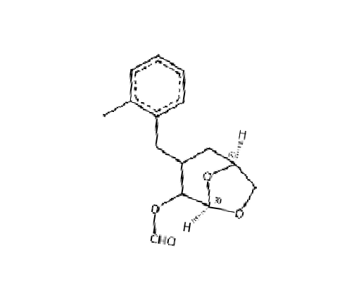 Cc1ccccc1CC1C[C@H]2CO[C@H](O2)C1OC=O